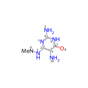 CNNc1nc(N)[nH]c(=O)c1N